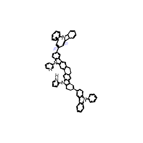 C=C/C=C(\C=C1\C2C=CC=CC2N1c1ccccc1)c1ccc2c(c1)c1cc3c(cc1n2-c1cccnc1)-c1cc2c(cc1CC3)c1c(n2-c2ccc[nH]2)CCC(c2ccc3c(c2)c2ccccc2n3-c2ccccc2)=C1